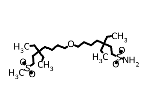 CCC(CC)(CCCCOCCCCC(CC)(CC)CCS(N)(=O)=O)CCS(C)(=O)=O